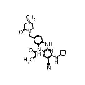 C=CC(=O)Nc1cc(CN2CCN(C)CC2=O)ccc1Nc1ncc(C#N)c(NC2CCC2)n1